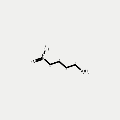 O=[PH](O)CCCC[AsH2]